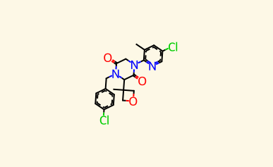 Cc1cc(Cl)cnc1N1CC(=O)N(Cc2ccc(Cl)cc2)C(C2(C)COC2)C1=O